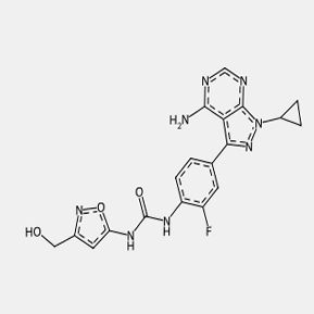 Nc1ncnc2c1c(-c1ccc(NC(=O)Nc3cc(CO)no3)c(F)c1)nn2C1CC1